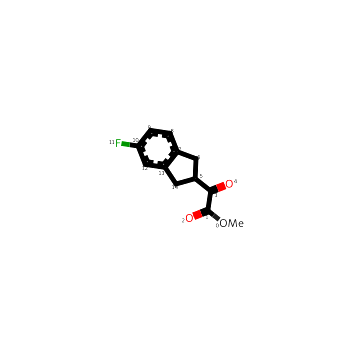 COC(=O)C(=O)C1Cc2ccc(F)cc2C1